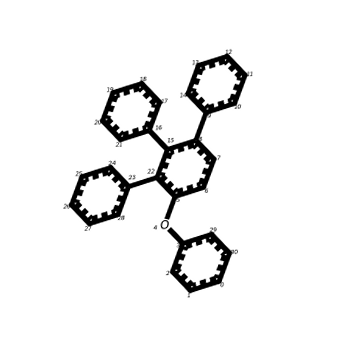 c1ccc(Oc2ccc(-c3ccccc3)c(-c3ccccc3)c2-c2ccccc2)cc1